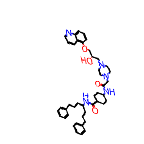 O=C(CN1CCN(C[C@@H](O)COc2cccc3ncccc23)CC1)NC1CCC(C(=O)NC(CCCc2ccccc2)CCCc2ccccc2)CC1